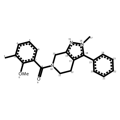 COc1c(C)cccc1C(=O)N1CCc2c(nn(C)c2-c2ccccc2)C1